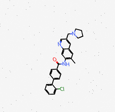 Cc1cc2cc(CN3CCCC3)cnc2cc1NC(=O)c1ccc(-c2ccccc2Cl)cc1